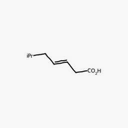 CC(C)CC=CCC(=O)O